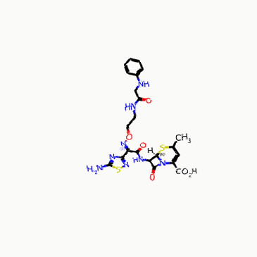 CC1C=C(C(=O)O)N2C(=O)C(NC(=O)/C(=N\OCCNC(=O)CNc3ccccc3)c3nsc(N)n3)[C@H]2S1